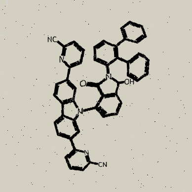 N#Cc1cccc(-c2ccc3c4ccc(-c5cccc(C#N)n5)cc4n(-c4cccc5c4C(=O)N(c4cccc(-c6ccccc6)c4-c4ccccc4)C5O)c3c2)n1